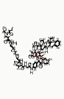 CCCC(=O)N(C=O)CCC(=O)NCCOCCOCCC(=O)NC(C(=O)NCC(=O)Nc1ccc(C(OC(=O)N(C)C(C(=O)NCC(=O)N(C)[C@@H]([C@@H](C)CC)[C@@H](CC(=O)N2CCC[C@H]2[C@H](OC)[C@@H](C)C(=O)N[C@@H](Cc2ccccc2)c2nccs2)OC)C(C)C)C(=O)N2CCN(C)CC2)cc1)C(C)C